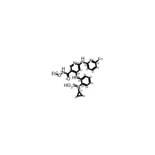 CCONC(=O)c1cnc(Nc2cccc(F)n2)cc1Nc1ccccc1N(C1CC1)S(=O)(=O)O